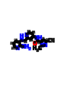 Cn1nc(C#N)cc1C(=O)Nc1ccnc(CNc2cccnc2N)c1